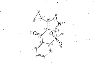 CS(=O)(=O)c1ccccc1C(=O)c1cnoc1C1CC1